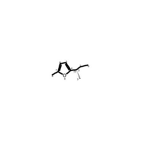 CC[C@H](C)c1ccc(C)o1